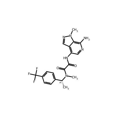 C[C@H](c1ccc(C(F)(F)F)cc1)N(C)C(=O)C(=O)Nc1cnc(N)c2c1cnn2C